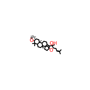 CC(C)=CCC1OC23CCC4(C2)C(CCC2C4(C)CCC4C(C)(C)[C@@H](OC(C)C)CC[C@@]42C)C3C1(C)O